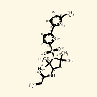 C=CC(=O)NC1CC(C)(C)N(S(=O)(=O)c2ccc(-c3csc(C)n3)s2)C1(C)C